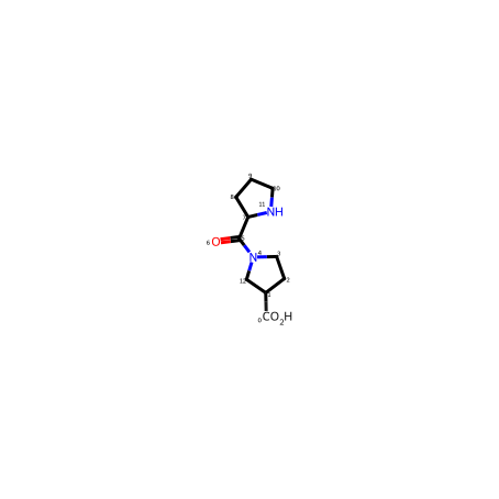 O=C(O)C1CCN(C(=O)C2CCCN2)C1